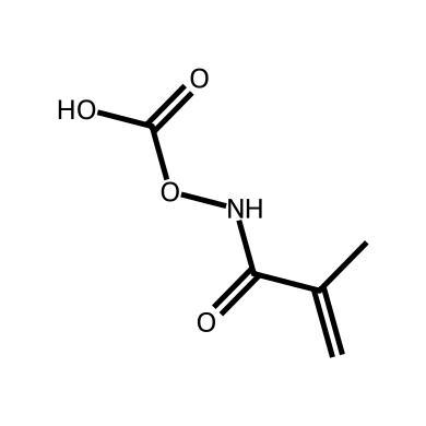 C=C(C)C(=O)NOC(=O)O